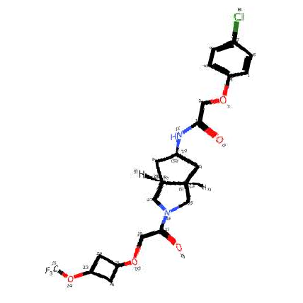 O=C(COc1ccc(Cl)cc1)N[C@H]1C[C@@H]2CN(C(=O)COC3CC(OC(F)(F)F)C3)C[C@@H]2C1